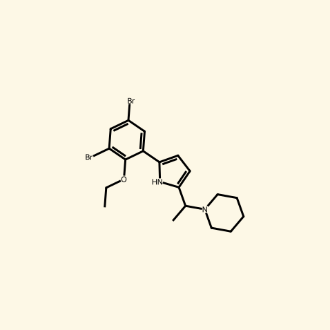 CCOc1c(Br)cc(Br)cc1-c1ccc(C(C)N2CCCCC2)[nH]1